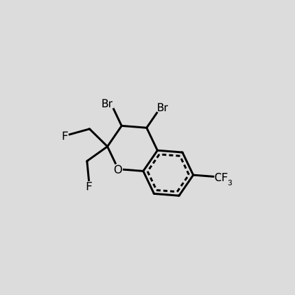 FCC1(CF)Oc2ccc(C(F)(F)F)cc2C(Br)C1Br